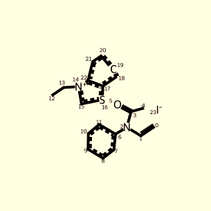 C=CN(C(C)=O)c1ccccc1.CC[n+]1csc2ccccc21.[I-]